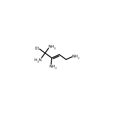 CCC(N)(N)C(N)=CCN